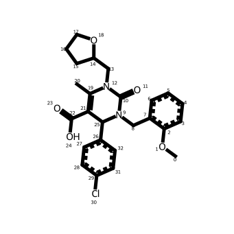 COc1ccccc1CN1C(=O)N(CC2CCCO2)C(C)=C(C(=O)O)C1c1ccc(Cl)cc1